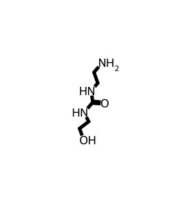 NCCNC(=O)NCCO